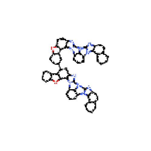 c1ccc2c(c1)ccc1nc3n(c4cccc5c4n3c3nc4cc(-c6ccc7oc8ccc9nc%10n(c%11cccc%12c%11n%10c%10nc%11ccc%13ccccc%13c%11n%12%10)c9c8c7c6)c6c7ccccc7oc6c4n53)c12